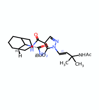 CC(=O)NC(C)(C)/C=C/n1ncc(C(=O)NC2C3CCC[C@H]2C[C@@H](C(N)=O)C3)c1OCC(C)C